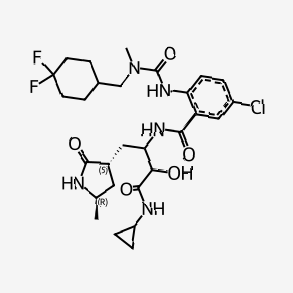 C[C@@H]1C[C@@H](CC(NC(=O)c2cc(Cl)ccc2NC(=O)N(C)CC2CCC(F)(F)CC2)C(O)C(=O)NC2CC2)C(=O)N1